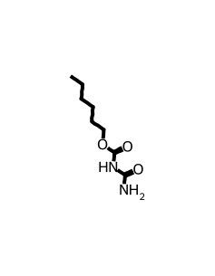 CCCCCCOC(=O)NC(N)=O